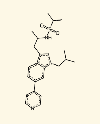 CC(C)Cn1cc(CC(C)NS(=O)(=O)C(C)C)c2ccc(-c3ccncc3)cc21